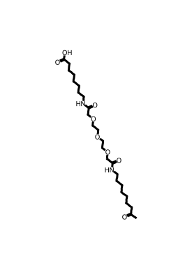 CC(=O)CCCCCCCNC(=O)COCCOCCOCC(=O)NCCCCCCCC(=O)O